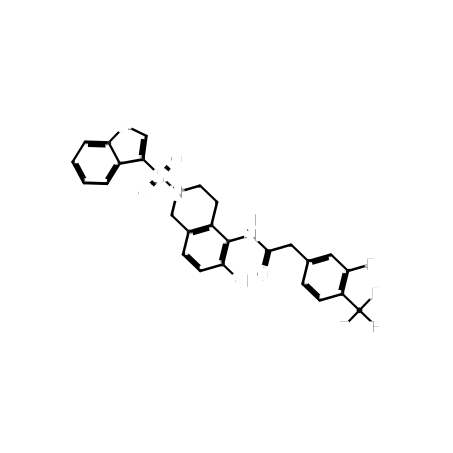 O=C(Cc1ccc(C(F)(F)F)c(F)c1)Nc1c(Cl)ccc2c1CCN(S(=O)(=O)c1csc3ccccc13)C2